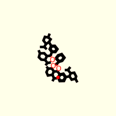 CC1CCC(C(C)C)C(c2cccc(C(OC(=O)c3ccccc3OC(c3cccc(C4CC(C)CCC4C(C)C)c3)C3CC(C)CCC3C(C)C)C3CC(C)CCC3C(C)C)c2)C1